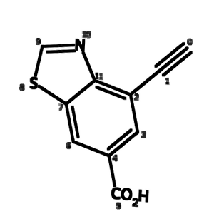 C#Cc1cc(C(=O)O)cc2scnc12